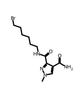 Cn1cc(C(N)=O)c(C(=O)NCCCCCCBr)n1